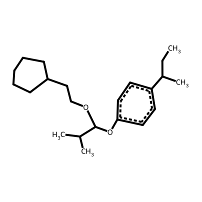 CCC(C)c1ccc(OC(OCCC2CCCCC2)C(C)C)cc1